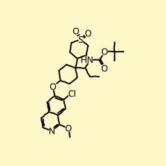 CCC(NC(=O)OC(C)(C)C)C1(C2CCS(=O)(=O)CC2)CCC(Oc2cc3ccnc(OC)c3cc2Cl)CC1